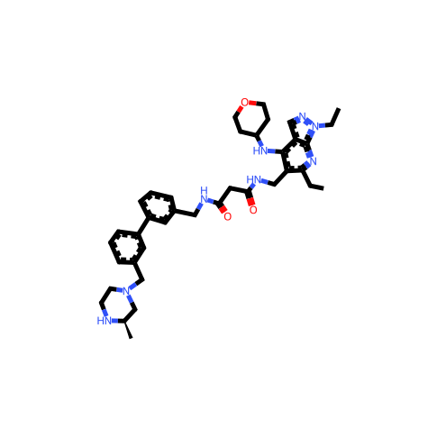 CCc1nc2c(cnn2CC)c(NC2CCOCC2)c1CNC(=O)CC(=O)NCc1cccc(-c2cccc(CN3CCN[C@H](C)C3)c2)c1